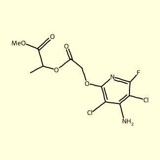 COC(=O)C(C)OC(=O)COc1nc(F)c(Cl)c(N)c1Cl